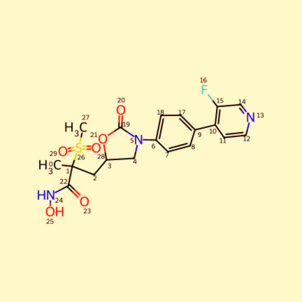 CC(CC1CN(c2ccc(-c3ccncc3F)cc2)C(=O)O1)(C(=O)NO)S(C)(=O)=O